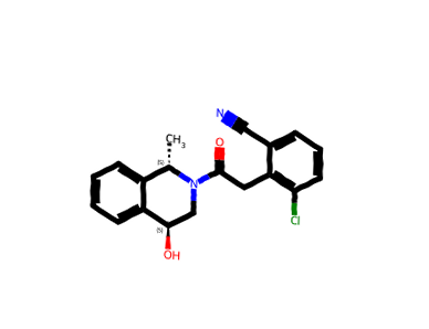 C[C@H]1c2ccccc2[C@H](O)CN1C(=O)Cc1c(Cl)cccc1C#N